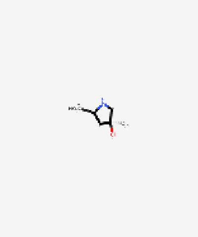 O=C(O)C1C[C@@](O)(C(F)(F)F)CN1